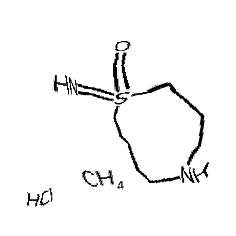 C.Cl.N=S1(=O)CCNCC1